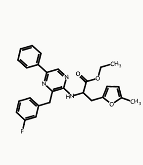 CCOC(=O)C(Cc1ccc(C)o1)Nc1ncc(-c2ccccc2)nc1Cc1cccc(F)c1